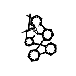 Cc1ccc2[n+](c1)[N+]13c4c-2cccc4C2(c4ccccc4-c4ccccc42)c2cccc(c21)-c1ccc(C)c[n+]13